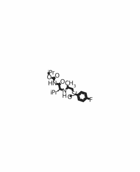 CC(C[S+]([O-])c1ccc(F)cc1)N[C@H](C(=O)NC(=O)OC(C)C)C(C)C